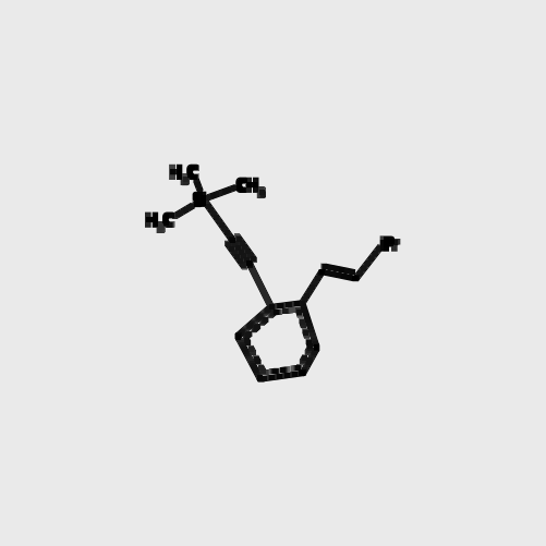 CC(C)C=Cc1ccccc1C#C[Si](C)(C)C